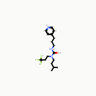 CC(C)CCN(CCC(F)(F)F)C(=O)NCCCc1ccncc1